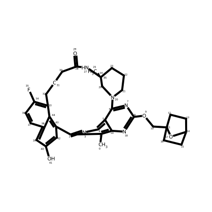 Cc1c2ncc3c(nc(OCC45CCC(CC4)O5)nc13)N1CCC[C@](C)(C1)NC(=O)CCCc1c(F)ccc3cc(O)cc-2c13